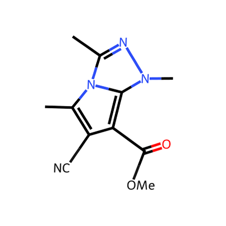 COC(=O)c1c(C#N)c(C)n2c(C)nn(C)c12